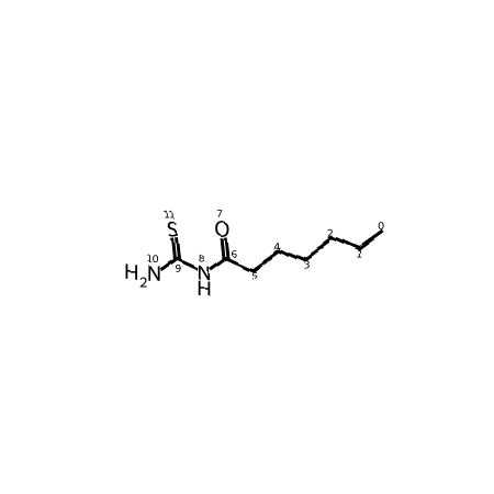 CCCCCCC(=O)NC(N)=S